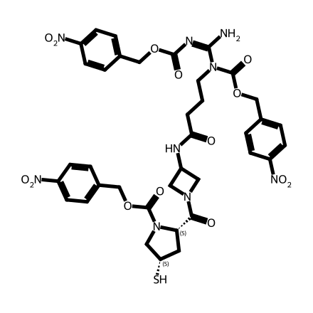 NC(=NC(=O)OCc1ccc([N+](=O)[O-])cc1)N(CCCC(=O)NC1CN(C(=O)[C@@H]2C[C@H](S)CN2C(=O)OCc2ccc([N+](=O)[O-])cc2)C1)C(=O)OCc1ccc([N+](=O)[O-])cc1